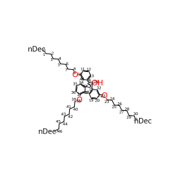 CCCCCCCCCCCCCCCCCCOc1cccc([Si](O)(c2cccc(OCCCCCCCCCCCCCCCCCC)c2)c2cccc(OCCCCCCCCCCCCCCCCCC)c2)c1